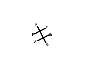 FC(F)(F)C(Br)(Br)Br